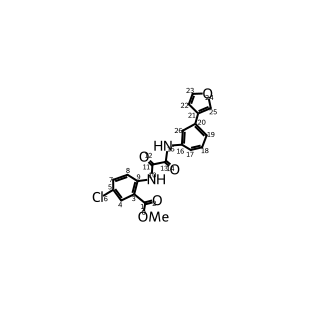 COC(=O)c1cc(Cl)ccc1NC(=O)C(=O)Nc1cccc(-c2ccoc2)c1